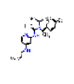 C=C(/C=C\C(C)=C(/C)N(C(=C)Nc1cc(NCCNC)ccn1)C(CC)CCC)CC